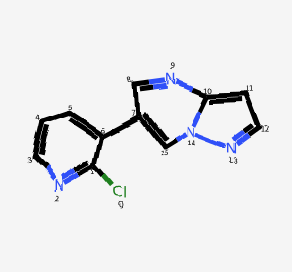 Clc1ncccc1-c1cnc2ccnn2c1